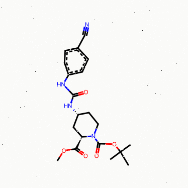 COC(=O)[C@H]1C[C@H](NC(=O)Nc2ccc(C#N)cc2)CCN1C(=O)OC(C)(C)C